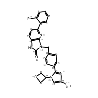 CC(C)c1ccccc1-c1ncc2[nH]c(=O)n(Cc3ccc(-c4nc(C(F)(F)F)cn4C4COC4)cc3)c2n1